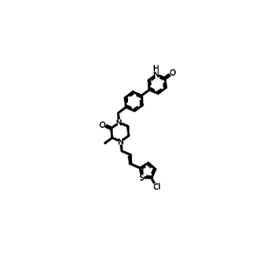 CC1C(=O)N(Cc2ccc(-c3ccc(=O)[nH]c3)cc2)CCN1C/C=C/c1ccc(Cl)s1